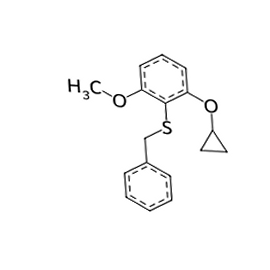 COc1cccc(OC2CC2)c1SCc1ccccc1